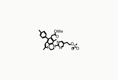 COC(=O)Cc1c(C)c2c3c(cc(C)n3CCN2c2ncc(CCOS(C)(=O)=O)cn2)c1-c1ccc(C)cc1